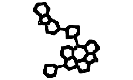 c1ccc(-c2cc3ccc4oc5cccc6c5c4c3c3c2cccc3n6-c2cccc(-c3ccc4oc5ccccc5c4c3)c2)cc1